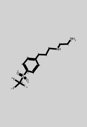 NCCNCCCc1ccc(S(=O)(=O)C(F)(F)F)cc1